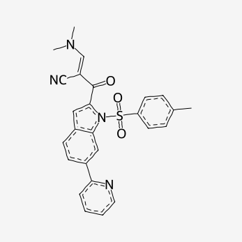 Cc1ccc(S(=O)(=O)n2c(C(=O)C(C#N)=CN(C)C)cc3ccc(-c4ccccn4)cc32)cc1